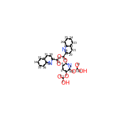 O=C(O)Oc1cccnc1OC(=O)O.O=C(OC(=O)c1ccc2ccccc2n1)c1ccc2ccccc2n1